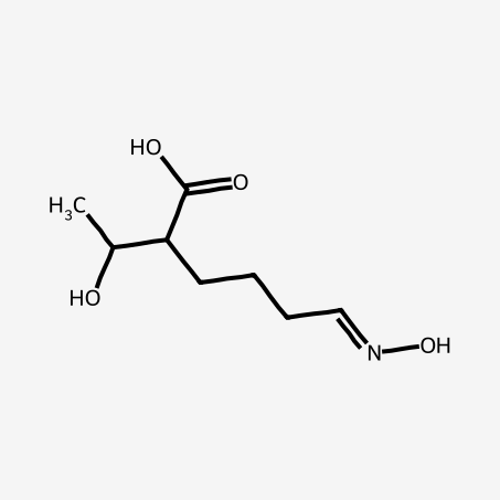 CC(O)C(CCC/C=N/O)C(=O)O